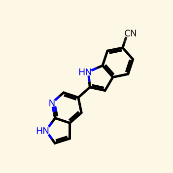 N#Cc1ccc2cc(-c3cnc4[nH]ccc4c3)[nH]c2c1